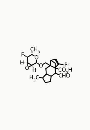 CC(C)C1=CC2CC3(C=O)C4CCC(C)C4CC2(CO[C@@H]2O[C@H](C)[C@H](F)[C@@H]4O[C@H]24)C13C(=O)O